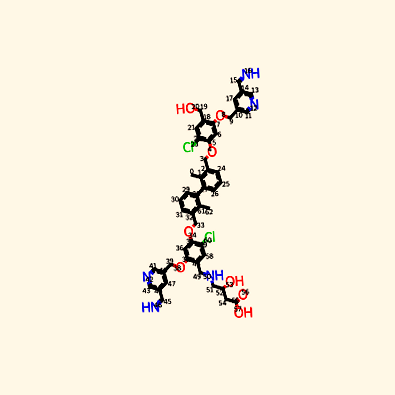 Cc1c(COc2cc(OCc3cncc(C=N)c3)c(CO)cc2Cl)cccc1-c1cccc(COc2cc(OCc3cncc(C=N)c3)c(CNCC(O)CC(=O)O)cc2Cl)c1C